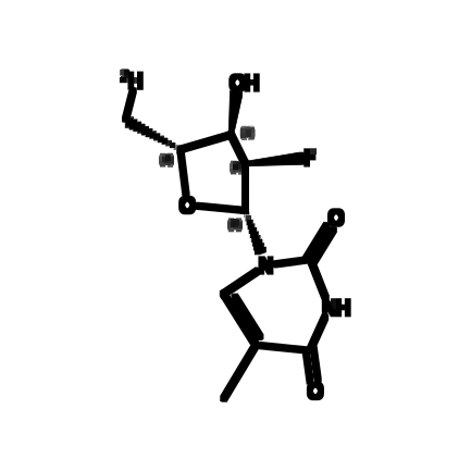 [2H]C[C@H]1O[C@@H](n2cc(C)c(=O)[nH]c2=O)[C@H](F)[C@@H]1O